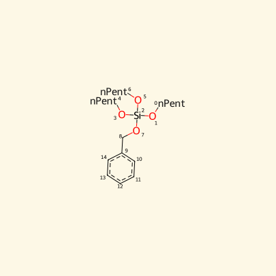 CCCCCO[Si](OCCCCC)(OCCCCC)OCc1ccccc1